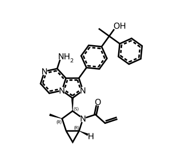 C=CC(=O)N1[C@@H]2CC2[C@@H](C)[C@H]1c1nc(-c2ccc(C(C)(O)c3ccccc3)cc2)c2c(N)nccn12